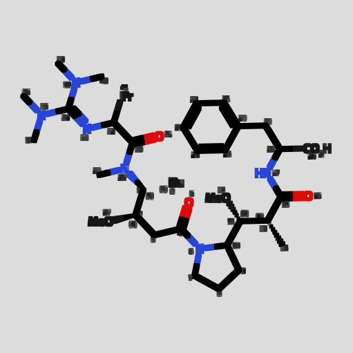 CC[C@H](C)[C@@H]([C@@H](CC(=O)N1CCCC1[C@H](OC)[C@@H](C)C(=O)NC(Cc1ccccc1)C(=O)O)OC)N(C)C(=O)C(N=C(N(C)C)N(C)C)C(C)C